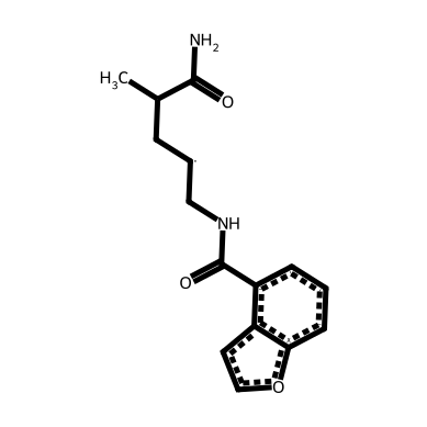 CC(C[CH]CNC(=O)c1cccc2occc12)C(N)=O